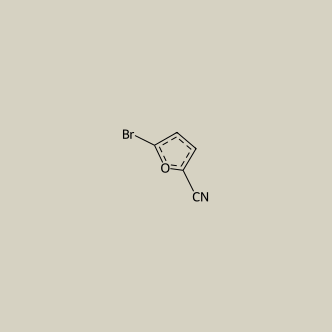 N#Cc1ccc(Br)o1